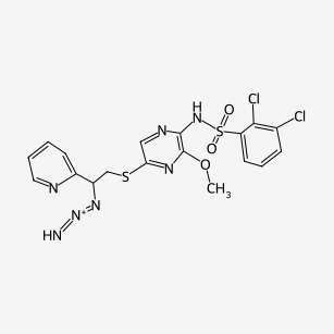 COc1nc(SCC(N=[N+]=N)c2ccccn2)cnc1NS(=O)(=O)c1cccc(Cl)c1Cl